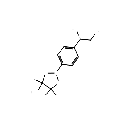 CC1(C)OB(c2ccc([C@@H](O)CO)cc2)OC1(C)C